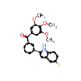 COc1cc(C(=O)c2cccc(-c3cc4cc(F)ccc4[nH]3)c2)cc(OC)c1OC